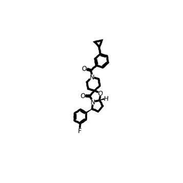 O=C(c1cccc(C2CC2)c1)N1CCC2(CC1)O[C@@H]1CC[C@@H](c3cccc(F)c3)N1C2=O